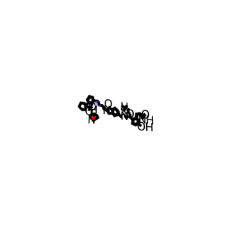 CC(C)(C)[Si](C)(C)O[C@@H](CNCc1ccc2c(c1)CN(CC/C=C/c1cccc(C3(C(=O)O[C@H]4CN5CCC4CC5)CCCCC3)c1)C2=O)c1ccc(O)c2[nH]c(=O)ccc12